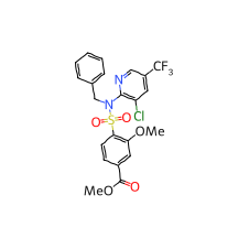 COC(=O)c1ccc(S(=O)(=O)N(Cc2ccccc2)c2ncc(C(F)(F)F)cc2Cl)c(OC)c1